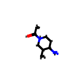 CCCC(=O)N1CCC(N)C(C)C1